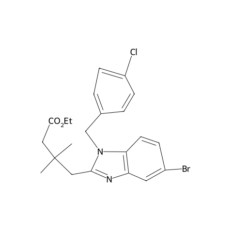 CCOC(=O)CC(C)(C)Cc1nc2cc(Br)ccc2n1Cc1ccc(Cl)cc1